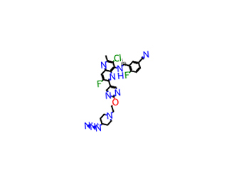 Cc1nc2cc(F)c(-c3cnc(OCCN4CCC(N=[N+]=[N-])CC4)nc3)nc2c(N[C@H](C)c2cc(C#N)ccc2F)c1Cl